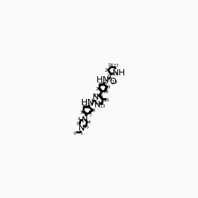 CCN1CCN(c2ccc(Nc3ncc(C)c(-c4ccc(NC(=O)[C@H]5CCCN5)cc4)n3)cc2)CC1